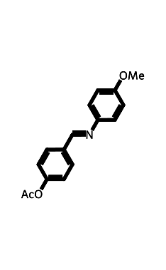 COc1ccc(N=Cc2ccc(OC(C)=O)cc2)cc1